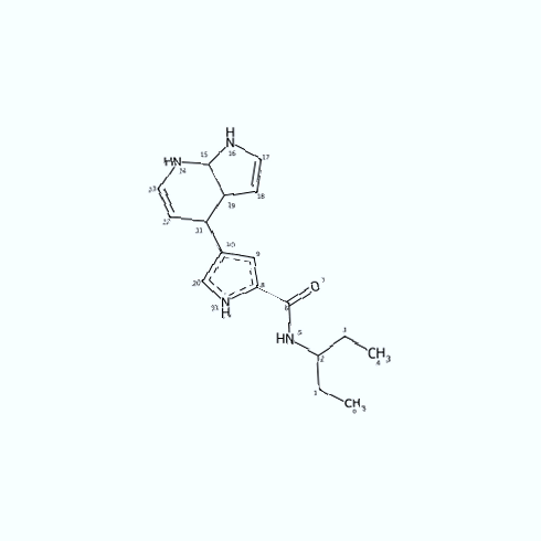 CCC(CC)NC(=O)c1cc(C2C=CNC3NC=CC32)c[nH]1